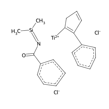 C[Si](C)=NC(=O)c1ccccc1.[Cl-].[Cl-].[Ti+2][C]1=C(c2ccccc2)C=CC1